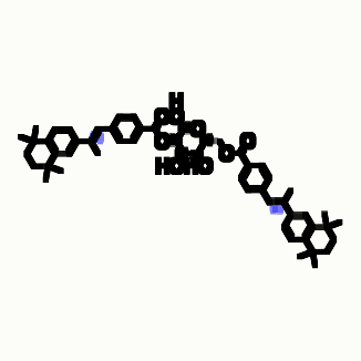 C/C(=C\c1ccc(C(=O)OC[C@H]2O[C@H](O)[C@H](OC(=O)c3ccc(/C=C(\C)c4ccc5c(c4)C(C)(C)CCC5(C)C)cc3)[C@@H](O)[C@@H]2O)cc1)c1ccc2c(c1)C(C)(C)CCC2(C)C